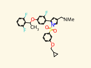 CNCc1cc(-c2ccc(OC(C)c3c(F)cccc3F)cc2F)n(S(=O)(=O)c2cccc(OCC3CC3)c2)c1